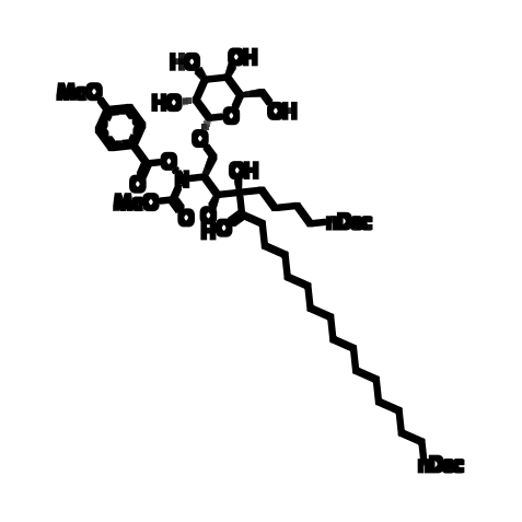 CCCCCCCCCCCCCCCCCCCCCCCCCC(=O)[C@@](O)(CCCCCCCCCCCCCC)[C@@H](O)[C@H](CO[C@H]1O[C@H](CO)[C@H](O)[C@H](O)[C@H]1O)N(OC(=O)c1ccc(OC)cc1)C(=O)OC